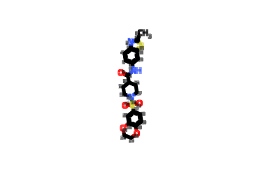 Cc1nc2ccc(NC(=O)C3CCN(S(=O)(=O)c4ccc5c(c4)OCCO5)CC3)cc2s1